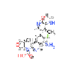 Cc1c(-c2cc3cc(N(C(=O)O)C4COCC4C)ncc3c(N)c2F)cnc2c1NCCO2